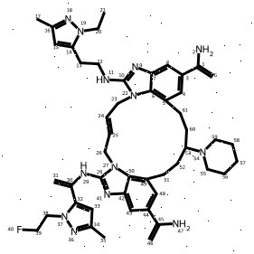 C=C(N)c1cc2c3c(c1)nc(NCCc1cc(C)nn1CC)n3C/C=C/Cn1c(NC(=C)c3cc(C)nn3CCF)nc3cc(C(=C)N)cc(c31)CCC(N1CCCCC1)CC2